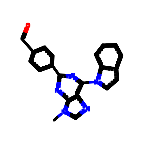 Cn1cnc2c(-n3ccc4ccccc43)nc(-c3ccc(C=O)cc3)nc21